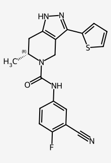 C[C@@H]1Cc2[nH]nc(-c3cccs3)c2CN1C(=O)Nc1ccc(F)c(C#N)c1